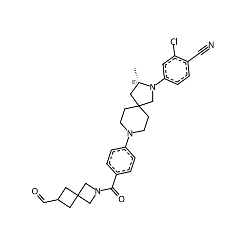 C[C@H]1CC2(CCN(c3ccc(C(=O)N4CC5(CC(C=O)C5)C4)cc3)CC2)CN1c1ccc(C#N)c(Cl)c1